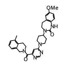 COc1ccc2c(c1)CCN(C1CCN(c3cc(C(=O)N4CCc5c(C)cccc5C4)ncn3)CC1)C(=O)N2